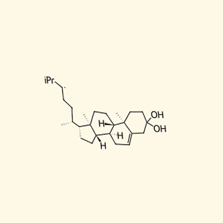 CC(C)[CH]CC[C@@H](C)[C@H]1CC[C@H]2[C@@H]3CC=C4CC(O)(O)CC[C@]4(C)[C@H]3CC[C@]12C